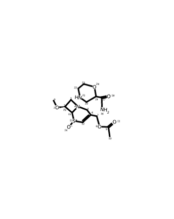 CO[C@H]1CN2CC(COC(C)=O)=C[S+]([O-])C12.NC(=O)C1CNCCO1